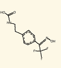 O=C(O)NCCc1ccc(C(=NO)C(F)(F)F)cc1